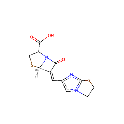 O=C(O)C1CS[C@@H]2C(=Cc3cn4c(n3)SCC4)C(=O)N12